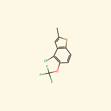 [CH2]c1cc2c(Cl)c(OC(F)(F)F)ccc2s1